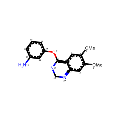 COc1cc2c(cc1OC)=C(Oc1cccc(N)c1)NCN=2